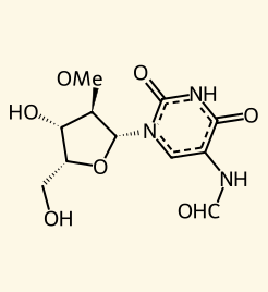 CO[C@@H]1[C@@H](O)[C@@H](CO)O[C@H]1n1cc(NC=O)c(=O)[nH]c1=O